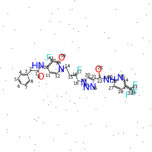 O=C(Cc1ccccc1)Nc1ccn(CCC(F)Cn2cc(C(=O)NCc3ccc(C(F)(F)F)cn3)nn2)c(=O)c1F